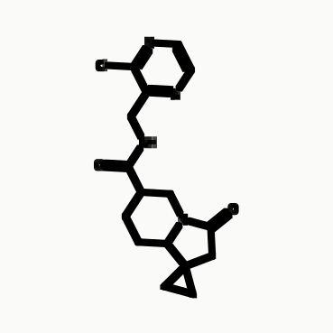 O=C(NCc1nccnc1Cl)C1CCC2N(C1)C(=O)CC21CC1